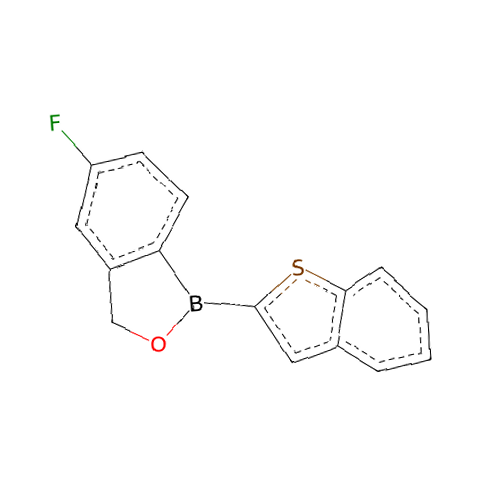 Fc1ccc2c(c1)COB2c1cc2ccccc2s1